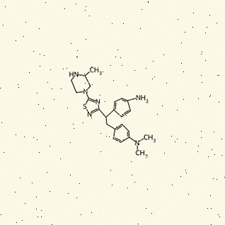 CC1CN(c2nc(C(Cc3ccc(N(C)C)cc3)c3ccc(N)cc3)ns2)CCN1